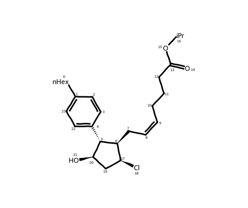 CCCCCCc1ccc([C@@H]2[C@@H](C/C=C\CCCC(=O)OC(C)C)[C@@H](Cl)C[C@H]2O)cc1